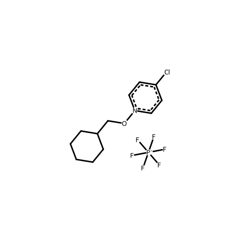 Clc1cc[n+](OCC2CCCCC2)cc1.F[P-](F)(F)(F)(F)F